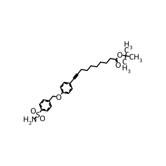 CC(C)(C)OC(=O)CCCCCCCC#Cc1ccc(OCc2ccc(S(N)(=O)=O)cc2)cc1